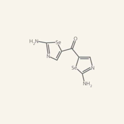 Nc1ncc(C(=O)c2cnc(N)[se]2)[se]1